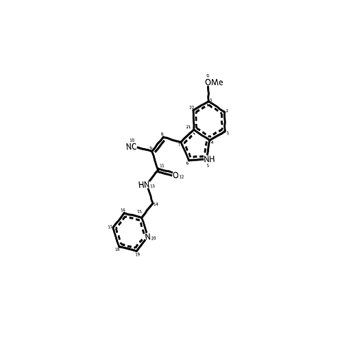 COc1ccc2[nH]cc(C=C(C#N)C(=O)NCc3ccccn3)c2c1